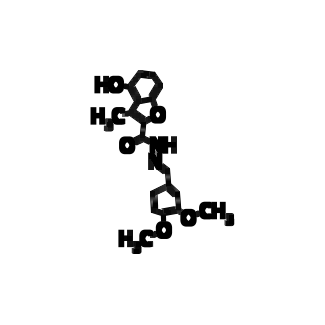 COc1ccc(/C=N/NC(=O)c2oc3cccc(O)c3c2C)cc1OC